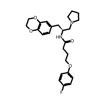 O=C(CCCOc1ccc(F)cc1)N[C@@H](Cc1ccc2c(c1)OCCO2)CN1CCCC1